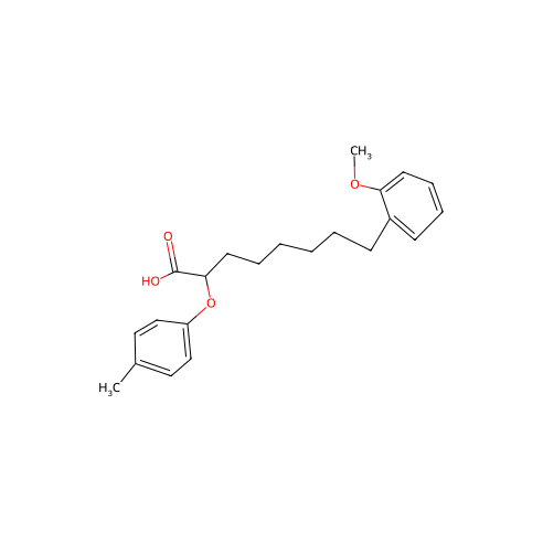 COc1ccccc1CCCCCCC(Oc1ccc(C)cc1)C(=O)O